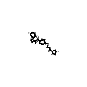 CC1C(c2ccc(OCCCN3CCCC3)cc2)Oc2cccnc2S1(=O)=O